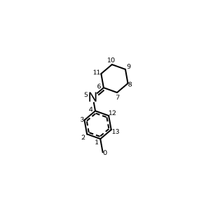 Cc1ccc(N=C2CCCCC2)cc1